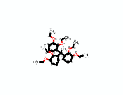 C=COc1cccc(C(C)(c2cccc(OC=C)c2OCC)c2cccc(OC=C)c2OCC)c1OCC